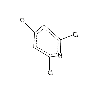 [O]c1cc(Cl)nc(Cl)c1